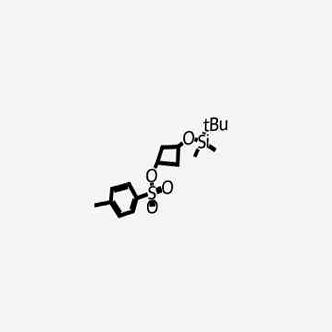 Cc1ccc(S(=O)(=O)OC2CC(O[Si](C)(C)C(C)(C)C)C2)cc1